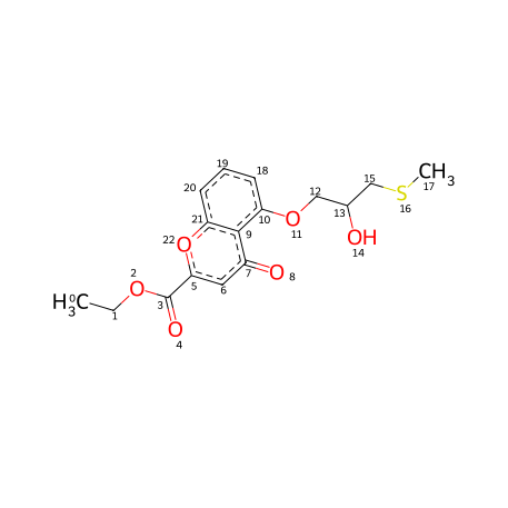 CCOC(=O)c1cc(=O)c2c(OCC(O)CSC)cccc2o1